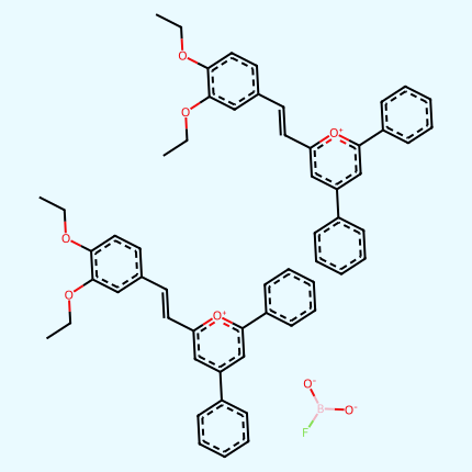 CCOc1ccc(/C=C/c2cc(-c3ccccc3)cc(-c3ccccc3)[o+]2)cc1OCC.CCOc1ccc(/C=C/c2cc(-c3ccccc3)cc(-c3ccccc3)[o+]2)cc1OCC.[O-]B([O-])F